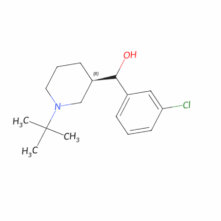 CC(C)(C)N1CCC[C@@H](C(O)c2cccc(Cl)c2)C1